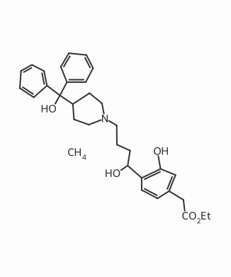 C.CCOC(=O)Cc1ccc(C(O)CCCN2CCC(C(O)(c3ccccc3)c3ccccc3)CC2)c(O)c1